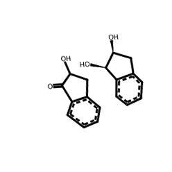 O=C1c2ccccc2CC1O.O[C@@H]1c2ccccc2C[C@@H]1O